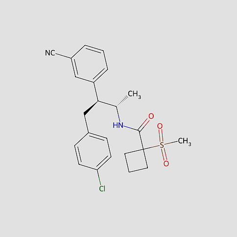 C[C@H](NC(=O)C1(S(C)(=O)=O)CCC1)[C@@H](Cc1ccc(Cl)cc1)c1cccc(C#N)c1